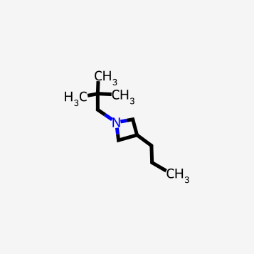 CCCC1CN(CC(C)(C)C)C1